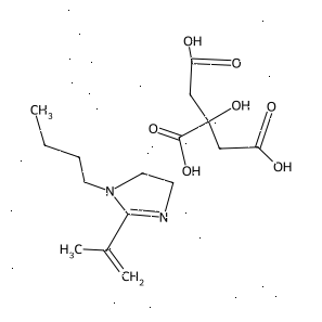 C=C(C)C1=NCCN1CCCC.O=C(O)CC(O)(CC(=O)O)C(=O)O